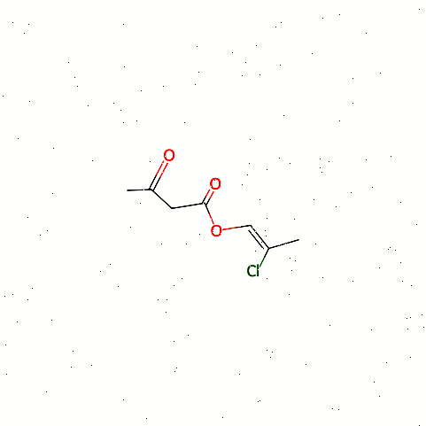 CC(=O)CC(=O)OC=C(C)Cl